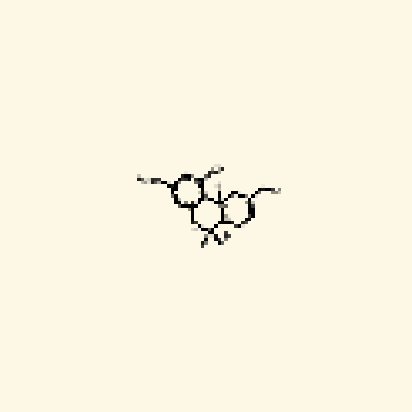 CCCCCc1cc(O)c2c(c1)OC(C)(C)[C@@H]1CC=C(CF)C[C@@H]21